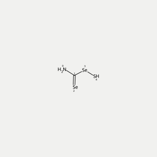 NC(=[Se])[Se]S